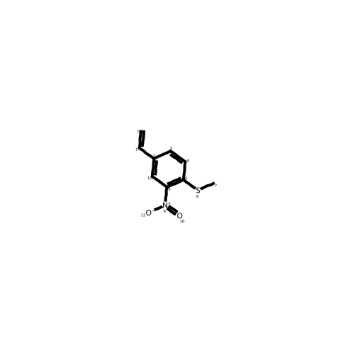 C=Cc1ccc(SC)c([N+](=O)[O-])c1